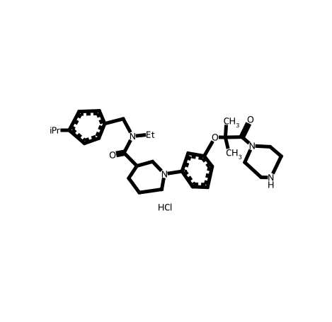 CCN(Cc1ccc(C(C)C)cc1)C(=O)C1CCCN(c2cccc(OC(C)(C)C(=O)N3CCNCC3)c2)C1.Cl